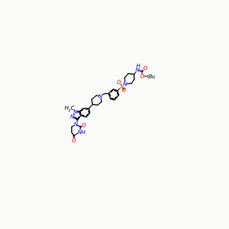 Cn1nc(N2CCC(=O)NC2=O)c2ccc(C3CCN(Cc4cccc(S(=O)(=O)N5CCC(NC(=O)OC(C)(C)C)CC5)c4)CC3)cc21